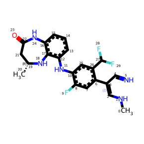 CN/C=C(\C=N)c1cc(F)c(Nc2cccc3c2N[C@H](C)CC(=O)N3)cc1C(F)F